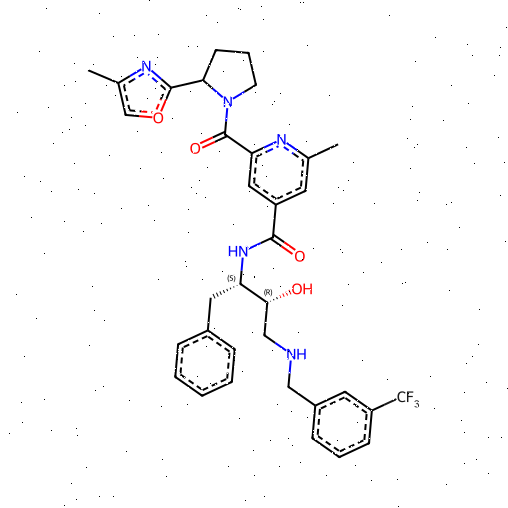 Cc1cc(C(=O)N[C@@H](Cc2ccccc2)[C@H](O)CNCc2cccc(C(F)(F)F)c2)cc(C(=O)N2CCCC2c2nc(C)co2)n1